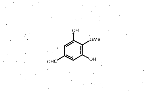 COc1c(O)cc(C=O)cc1O